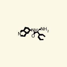 C/C=C\C(=C/C)[C@H](CN)C(=O)Nc1ccc2cnccc2c1